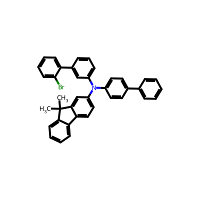 CC1(C)c2ccccc2-c2ccc(N(c3ccc(-c4ccccc4)cc3)c3cccc(-c4ccccc4Br)c3)cc21